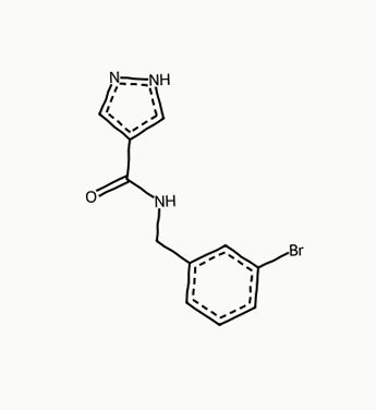 O=C(NCc1cccc(Br)c1)c1cn[nH]c1